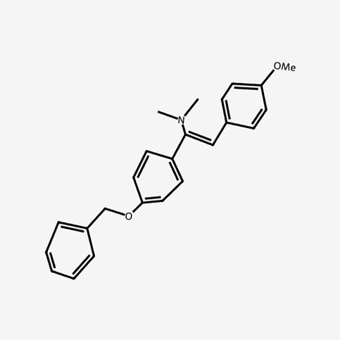 COc1ccc(/C=C(/c2ccc(OCc3ccccc3)cc2)N(C)C)cc1